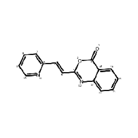 O=c1oc(/C=C/c2ccccn2)nc2ccccc12